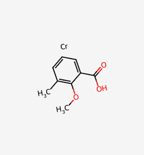 COc1c(C)cccc1C(=O)O.[Cr]